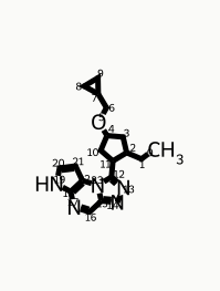 CCC1CC(OCC2CC2)CC1c1nnc2cnc3[nH]ccc3n12